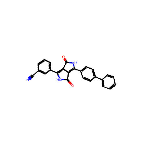 N#Cc1cccc(C2=C3C(=O)NC(c4ccc(-c5ccccc5)cc4)=C3C(=O)N2)c1